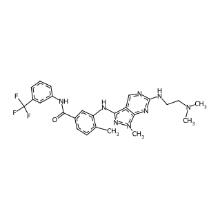 Cc1ccc(C(=O)Nc2cccc(C(F)(F)F)c2)cc1Nc1nn(C)c2nc(NCCN(C)C)ncc12